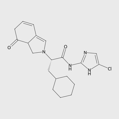 O=C1CC=CC2=CN([C@@H](CC3CCCCC3)C(=O)Nc3ncc(Cl)[nH]3)CC12